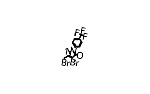 Cn1c(CBr)c(Br)c(=O)n1-c1ccc(C(F)(F)F)cc1